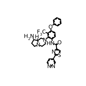 N[C@@H]1CCN2CCN(c3c(NC(=O)c4csc(-c5ccnnc5)n4)ccc(Oc4ccccc4)c3C(F)(F)F)C[C@@H]12